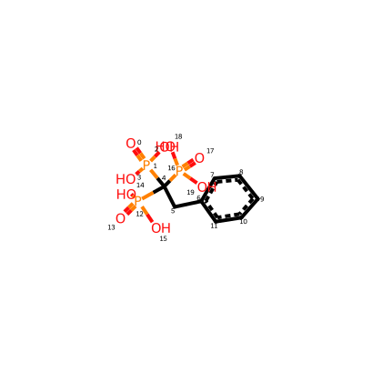 O=P(O)(O)C(Cc1ccccc1)(P(=O)(O)O)P(=O)(O)O